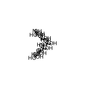 CC(CO)(CO)CO.CC(CO)(CO)CO.CC(CO)(CO)CO.OP(O)O.OP(O)O.OP(O)O.[C]=O.[Ni]